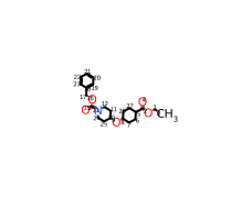 CCOC(=O)C1CCC(OC2CCN(C(=O)OCc3ccccc3)CC2)CC1